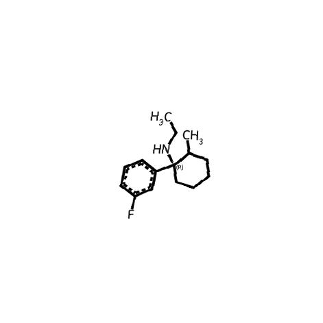 CCN[C@]1(c2cccc(F)c2)CCCCC1C